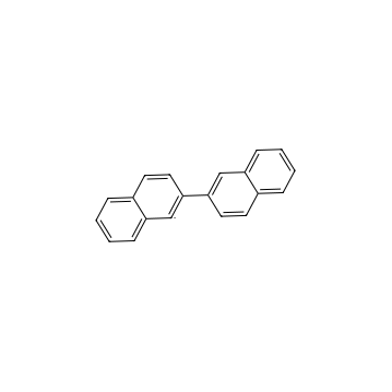 [c]1c(-c2ccc3ccccc3c2)ccc2ccccc12